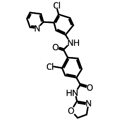 O=C(NC1=NCCO1)c1ccc(C(=O)Nc2ccc(Cl)c(-c3ccccn3)c2)c(Cl)c1